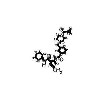 Cn1cc(NC(=O)c2cccc(CN3CCN(C(=O)C4CC4)CC3)c2)c(C(=O)NC2CCCCC2)n1